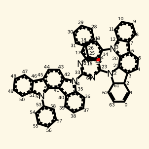 C1=CC2c3ccc4c5ccccc5n(-c5ccccc5)c4c3N(c3nc(-c4ccccc4)nc(-n4c5ccccc5c5c4ccc4c6ccccc6n(-c6ccccc6)c45)n3)C2C=C1